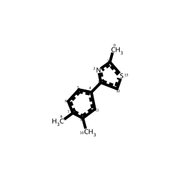 Cc1nc(-c2ccc(C)c(C)c2)cs1